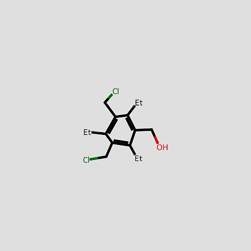 CCc1c(CO)c(CC)c(CCl)c(CC)c1CCl